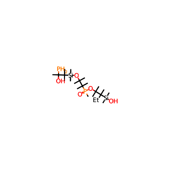 CCC(C)(C(C)(C)OP(C)(=O)C(C)(C)C(C)(C)O[Si](C)(C)C(C)(C)C(C)(O)P)[Si](C)(C)O